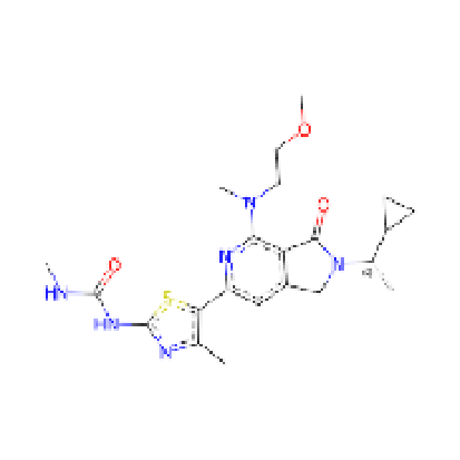 CNC(=O)Nc1nc(C)c(-c2cc3c(c(N(C)CCOC)n2)C(=O)N([C@@H](C)C2CC2)C3)s1